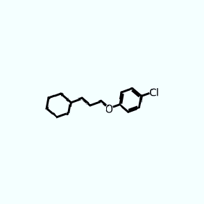 Clc1ccc(OCCCC2CCCCC2)cc1